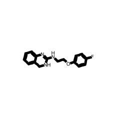 Fc1ccc(OCCNC2=Nc3ccccc3CN2)cc1